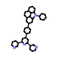 c1ccc(-n2c3cccc4ccc5cc(-c6ccc(-c7cc(-c8cccnc8)nc(-c8cccnc8)c7)cc6)cc2c5c43)cc1